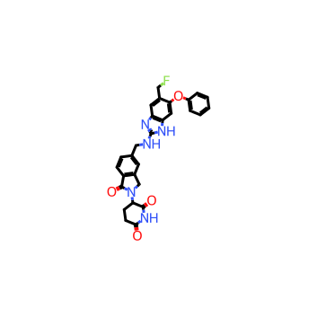 O=C1CCC(N2Cc3cc(CNc4nc5cc(CF)c(Oc6ccccc6)cc5[nH]4)ccc3C2=O)C(=O)N1